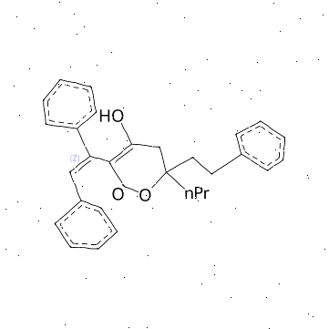 CCCC1(CCc2ccccc2)CC(O)=C(/C(=C\c2ccccc2)c2ccccc2)C(=O)O1